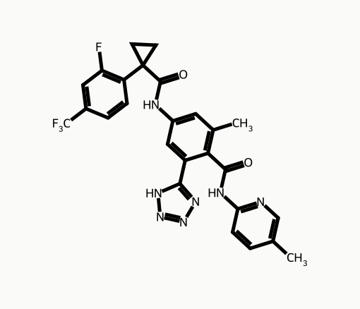 Cc1ccc(NC(=O)c2c(C)cc(NC(=O)C3(c4ccc(C(F)(F)F)cc4F)CC3)cc2-c2nnn[nH]2)nc1